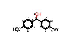 Cc1ccc(C(O)c2ccc(C(C)C)cc2)cc1